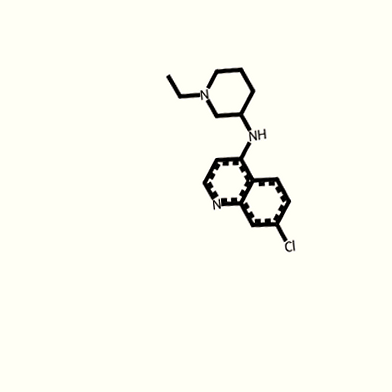 CCN1CCCC(Nc2ccnc3cc(Cl)ccc23)C1